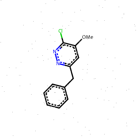 COc1cc(Cc2ccccc2)nnc1Cl